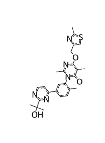 Cc1nc(COc2nc(C)n(-c3cc(-c4ccnc(C(C)(C)O)n4)ccc3C)c(=O)c2C)cs1